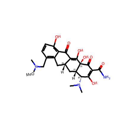 CON(C)Cc1ccc(O)c2c1C[C@H]1C[C@H]3[C@@H](N(C)C)C(O)=C(C(N)=O)C(=O)[C@@]3(O)C(O)=C1C2=O